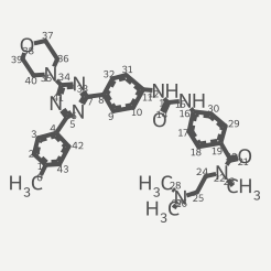 Cc1ccc(-c2nc(-c3ccc(NC(=O)Nc4ccc(C(=O)N(C)CCN(C)C)cc4)cc3)nc(N3CCOCC3)n2)cc1